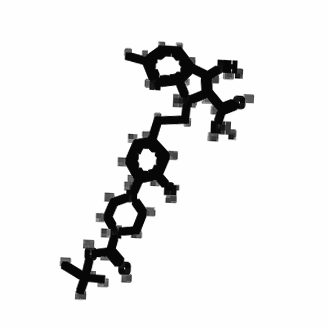 Cc1ccc2c(n1)[SH](CCc1ccc(N3CCN(C(=O)OC(C)(C)C)CC3)c(Br)c1)C(C(N)=O)=C2N